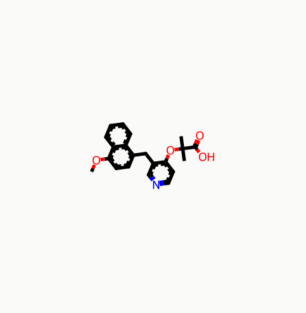 COc1ccc(Cc2cnccc2OC(C)(C)C(=O)O)c2ccccc12